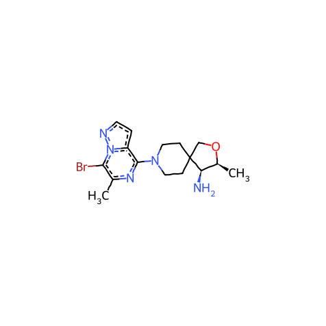 Cc1nc(N2CCC3(CC2)CO[C@@H](C)[C@H]3N)c2ccnn2c1Br